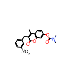 Cc1c(Cc2cccc([N+](=O)[O-])c2)c(=O)oc2cc(OC(=O)N(C)C)ccc12